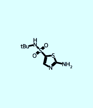 CC(C)(C)NS(=O)(=O)c1cnc(N)s1